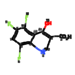 O=C(O)c1cnc2c(F)cc(F)c(F)c2c1O